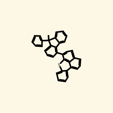 CC1(c2ccccc2)c2ccccc2-c2c(-c3ccc4cccc5c4c3Sc3ccccc3-5)cccc21